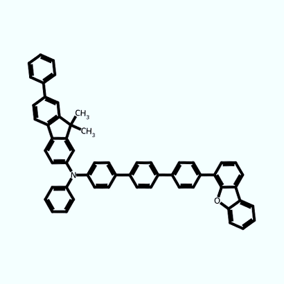 CC1(C)c2cc(-c3ccccc3)ccc2-c2ccc(N(c3ccccc3)c3ccc(-c4ccc(-c5ccc(-c6cccc7c6oc6ccccc67)cc5)cc4)cc3)cc21